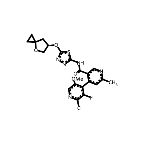 COc1cnc(Cl)c(F)c1-c1cc(C)ncc1C(=O)Nc1nnc(O[C@H]2COC3(CC3)C2)s1